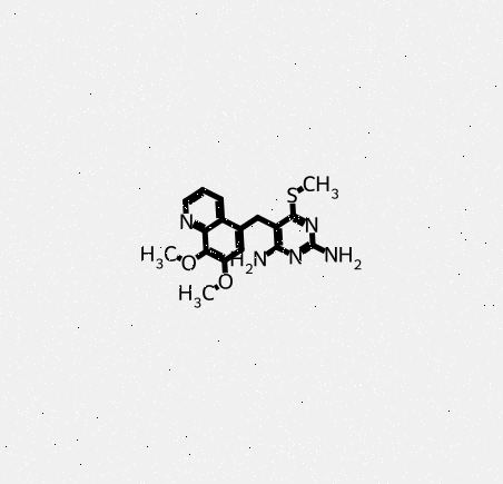 COc1cc(Cc2c(N)nc(N)nc2SC)c2cccnc2c1OC